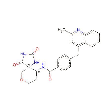 Cc1cc(Cc2ccc(C(=O)N[C@@H]3CCOC[C@]34NC(=O)NC4=O)cc2)c2ccccc2n1